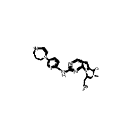 CC(C)CC1CN(C)C(=O)c2cc3cnc(Nc4ccc(N5CCCNCC5)cn4)nc3n21